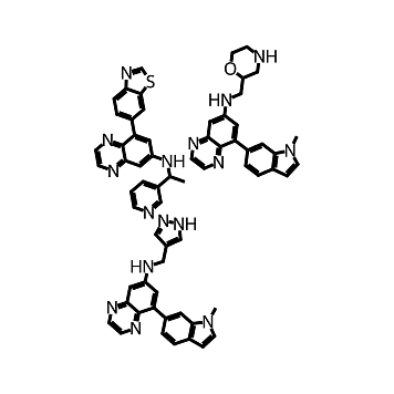 CC(Nc1cc(-c2ccc3ncsc3c2)c2nccnc2c1)c1cccnc1.Cn1ccc2ccc(-c3cc(NCC4CNCCO4)cc4nccnc34)cc21.Cn1ccc2ccc(-c3cc(NCc4cn[nH]c4)cc4nccnc34)cc21